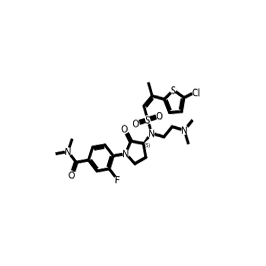 CC(=CS(=O)(=O)N(CCN(C)C)[C@H]1CCN(c2ccc(C(=O)N(C)C)cc2F)C1=O)c1ccc(Cl)s1